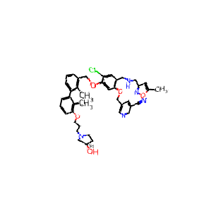 Cc1cc(CNCc2cc(Cl)c(OCc3cccc(-c4cccc(OCCCN5CC[C@@H](O)C5)c4C)c3C)cc2OCc2cncc(C#N)c2)no1